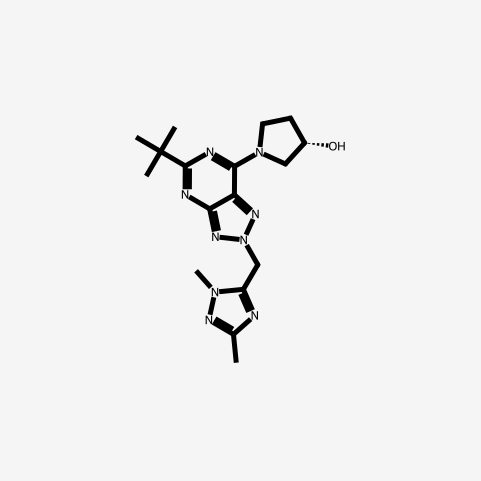 Cc1nc(Cn2nc3nc(C(C)(C)C)nc(N4CC[C@H](O)C4)c3n2)n(C)n1